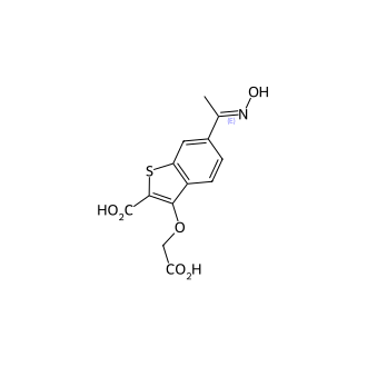 C/C(=N\O)c1ccc2c(OCC(=O)O)c(C(=O)O)sc2c1